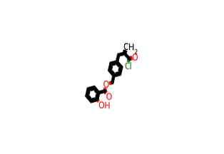 C=C(Cc1ccc(COC(=O)c2ccccc2O)cc1)C(=O)Cl